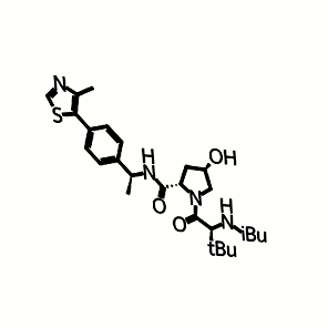 CCC(C)N[C@H](C(=O)N1C[C@H](O)C[C@H]1C(=O)N[C@@H](C)c1ccc(-c2scnc2C)cc1)C(C)(C)C